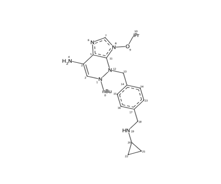 CCCCN1C=C(N)c2ncn(OC(C)C)c2N1Cc1ccc(CNC2CC2)cc1